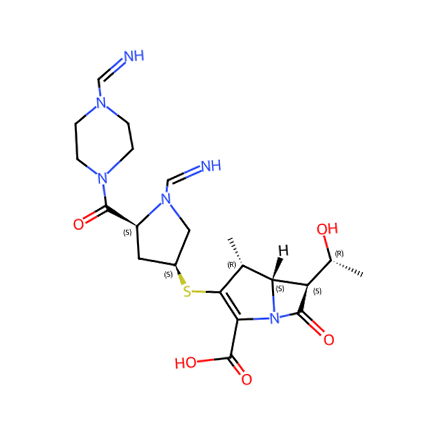 C[C@@H](O)[C@H]1C(=O)N2C(C(=O)O)=C(S[C@H]3C[C@@H](C(=O)N4CCN(C=N)CC4)N(C=N)C3)[C@H](C)[C@H]12